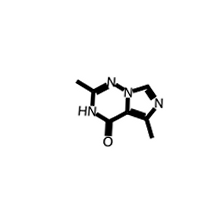 Cc1nn2cnc(C)c2c(=O)[nH]1